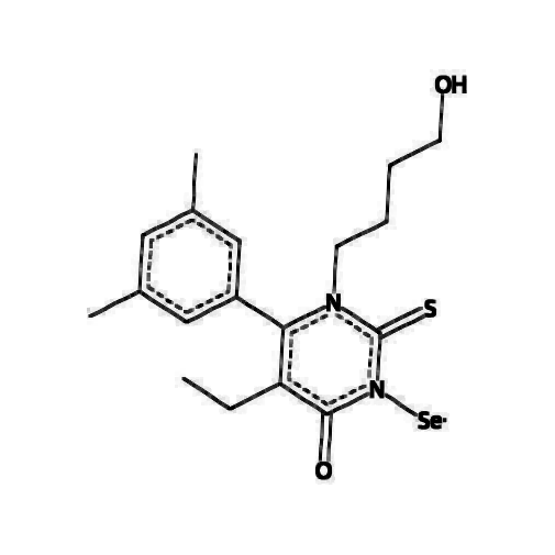 CCc1c(-c2cc(C)cc(C)c2)n(CCCCO)c(=S)n([Se])c1=O